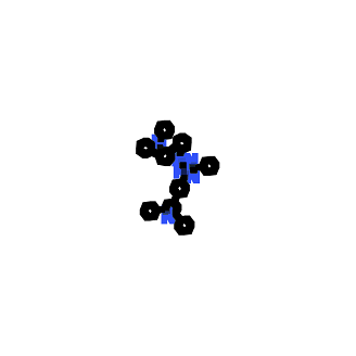 c1ccc(-c2cc(-c3ccc(-c4nc(-c5ccccc5)nc(-n5c6ccccc6c6c5ccc5c7ccccc7n(-c7ccccc7)c56)n4)cc3)cc(-c3ccccc3)n2)cc1